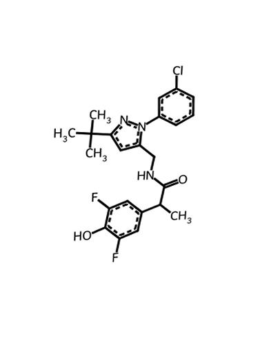 CC(C(=O)NCc1cc(C(C)(C)C)nn1-c1cccc(Cl)c1)c1cc(F)c(O)c(F)c1